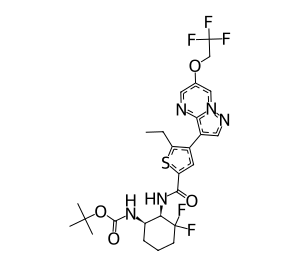 CCc1sc(C(=O)N[C@@H]2[C@H](NC(=O)OC(C)(C)C)CCCC2(F)F)cc1-c1cnn2cc(OCC(F)(F)F)cnc12